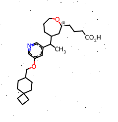 CC(c1cncc(OCC2CCC3(CCC3)CC2)c1)C1CCCO[C@@H](CCCC(=O)O)C1